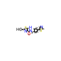 C#Cc1nc(C(=O)NCc2ccc(-c3cncs3)cc2)cs1